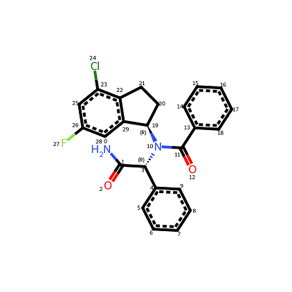 NC(=O)[C@@H](c1ccccc1)N(C(=O)c1ccccc1)[C@@H]1CCc2c(Cl)cc(F)cc21